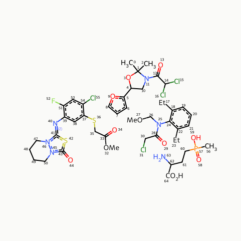 CC1(C)OC(c2ccco2)CN1C(=O)C(Cl)Cl.CCc1cccc(CC)c1N(COC)C(=O)CCl.COC(=O)CSc1cc(/N=c2\sc(=O)n3n2CCCC3)c(F)cc1Cl.CP(=O)(O)CCC(N)C(=O)O